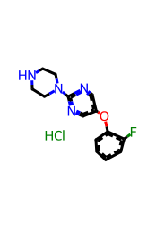 Cl.Fc1ccccc1Oc1cnc(N2CCNCC2)nc1